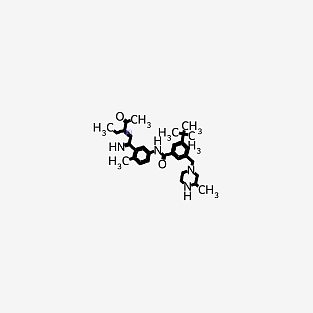 CC/C(=C\C(=N)c1cc(NC(=O)c2cc(CN3CCNC(C)C3)cc(C(C)(C)C)c2)ccc1C)C(C)=O